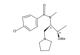 CO[C@H](C)[C@@H](CN1CCCC1)N(C)C(=O)c1ccc(Cl)cc1